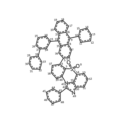 O=S1(=O)c2c(-c3ccc4c(-c5ccccc5)c5ccccc5c(-c5cccc(-c6ccccc6)c5)c4c3)cccc2-n2c(-c3ccccc3)nc3cccc1c32